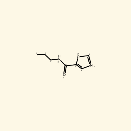 CCCNC(=O)c1cnco1